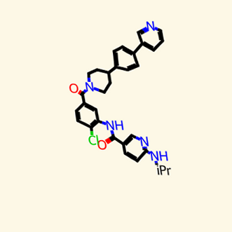 CC(C)Nc1ccc(C(=O)Nc2cc(C(=O)N3CCC(c4ccc(-c5cccnc5)cc4)CC3)ccc2Cl)cn1